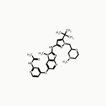 CC(=O)Nc1cc(Oc2cnc3nc(Nc4cc(C(C)(C)C)n(CC5CN(C)CCO5)n4)n(C)c3c2)ccn1